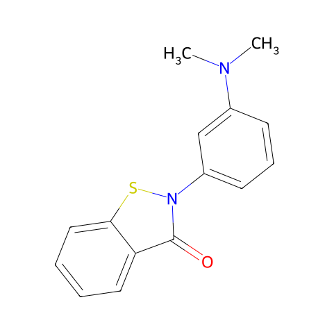 CN(C)c1cccc(-n2sc3ccccc3c2=O)c1